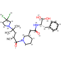 CC(C)(CC(C#N)C(=O)N1CCC[C@H](CC(=O)N[C@@H](Cc2ccccc2)B(O)O)C1)N1CCC(F)(F)C1